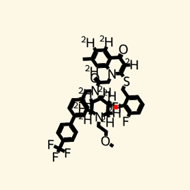 [2H]c1c(C)c([2H])c2c(c1[2H])c(=O)c([2H])c(SCc1cccc(F)c1F)n2CC(=O)N(Cc1ccc(-c2ccc(C(F)(F)F)cc2)cc1)C1([2H])C([2H])([2H])C([2H])([2H])N(CCOC)C([2H])([2H])C1([2H])[2H]